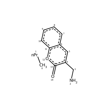 CCCC.NCc1cc2ccccc2oc1=O